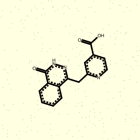 O=C(O)c1ccnc(Cc2n[nH]c(=O)c3ccccc23)c1